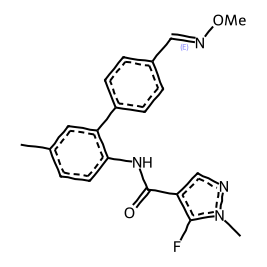 CO/N=C/c1ccc(-c2cc(C)ccc2NC(=O)c2cnn(C)c2F)cc1